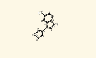 Clc1ccc2[nH]cc(-c3cnoc3)c2c1